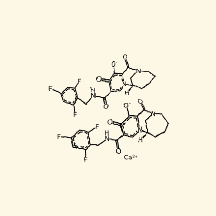 O=C(NCc1c(F)cc(F)cc1F)c1cn2c(c([O-])c1=O)C(=O)N1CCCC[C@H]2C1.O=C(NCc1c(F)cc(F)cc1F)c1cn2c(c([O-])c1=O)C(=O)N1CCCC[C@H]2C1.[Ca+2]